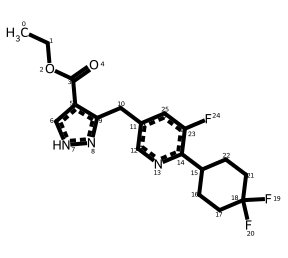 CCOC(=O)c1c[nH]nc1Cc1cnc(C2CCC(F)(F)CC2)c(F)c1